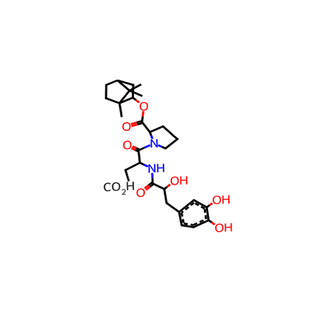 CC1(C)C2CCC1(C)C(OC(=O)C1CCCN1C(=O)C(CC(=O)O)NC(=O)C(O)Cc1ccc(O)c(O)c1)C2